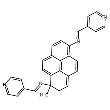 CC1(/N=C/c2ccncc2)CC=c2ccc3c(/N=C/c4ccncc4)ccc4ccc1c2c43